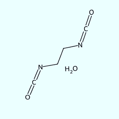 O.O=C=NCCN=C=O